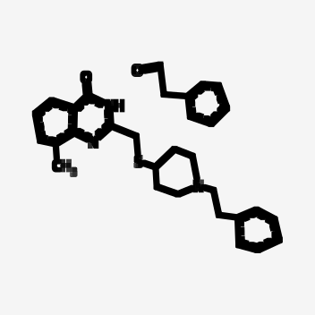 Cc1cccc2c(=O)[nH]c(CSC3CCN(CCc4ccccc4)CC3)nc12.O=CCc1ccccc1